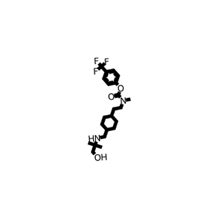 CN(CCC1CCC(CNC(C)(C)CO)CC1)C(=O)Oc1ccc(C(F)(F)F)cc1